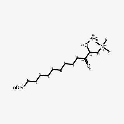 CCCCCCCCCCCCCCCCCCCC(=O)C(C[N+](C)(C)C)O[PH-]